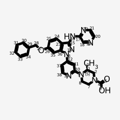 C[C@H]1CN(C(=O)O)CCN1c1cc(-n2nc(Nc3cnccn3)c3ccc(OCc4ccccc4)cc32)ccn1